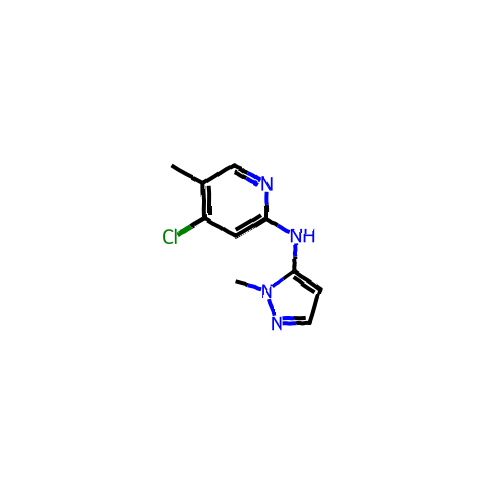 Cc1cnc(Nc2ccnn2C)cc1Cl